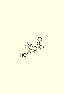 Nc1nc(NCCO)c2ccc(-c3ccccc3Oc3ccccc3)cc2n1